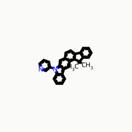 CC1(C)c2ccccc2-c2ccc3cc4c(cc3c21)c1ccccc1n4-c1cccnc1